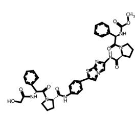 COC(=O)N[C@@H](C(=O)N1CCC[C@H]1C(=O)Nc1cn2cc(-c3ccc(NC(=O)[C@@H]4CCCN4C(=O)[C@H](NC(=O)CO)c4ccccc4)cc3)sc2n1)c1ccccc1